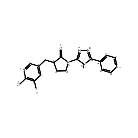 O=C1C(Cc2cnc(Cl)c(F)c2)CCN1c1nnc(-c2ccncc2)[nH]1